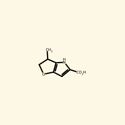 CC1COc2cc(C(=O)O)[nH]c21